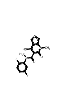 CN(C(=O)c1c(O)c2cscc2n(C)c1=O)c1cc(F)ccc1F